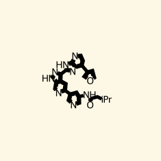 CC(C)CC(=O)Nc1cncc(-c2cc3c(-c4nc5c(-c6ccoc6)ccnc5[nH]4)n[nH]c3cn2)c1